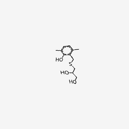 Cc1ccc(C)c(CSCC(O)CO)c1O